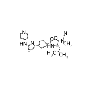 CC(C)C[C@H](NC(=O)c1ccc(-c2csc(Nc3ccncc3)n2)cc1)C(=O)N(C)C#N